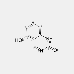 O=c1ncc2c(O)cccc2[nH]1